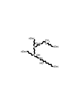 CCCCCCCCCCCCCCCCC(O)CCNCC(O)CN(CCCCCCCCCCCCCC)CCCCN(CCCCCCCCCCCCCC)CC(O)CNCCC(C)OCCCCCCCCCCCCCC